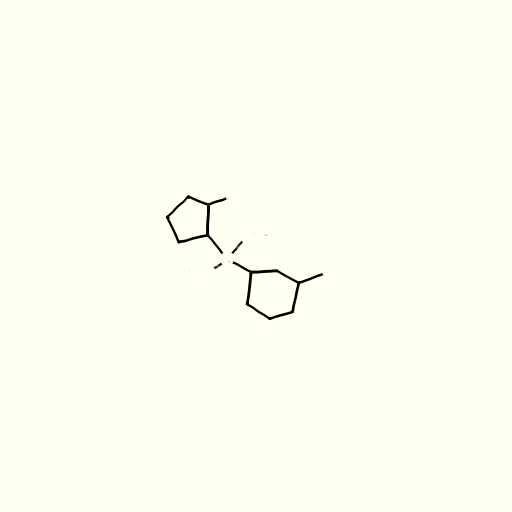 CO[Si](OC)(C1CCCC(C)C1)C1CCCC1C